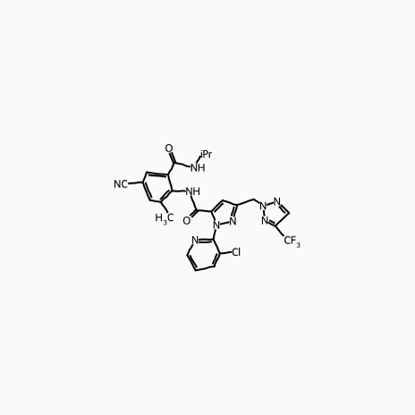 Cc1cc(C#N)cc(C(=O)NC(C)C)c1NC(=O)c1cc(Cn2ncc(C(F)(F)F)n2)nn1-c1ncccc1Cl